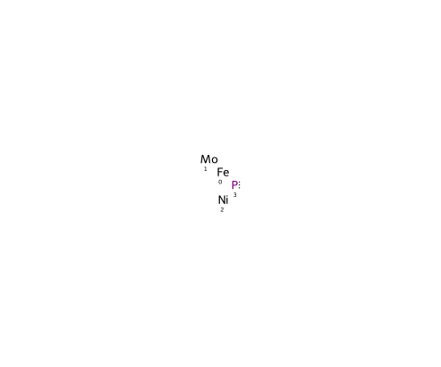 [Fe].[Mo].[Ni].[P]